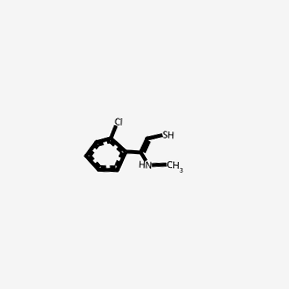 CN/C(=C\S)c1ccccc1Cl